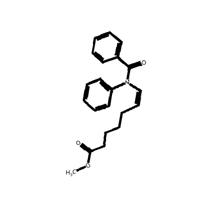 COC(=O)CCCC/C=C\N(C(=O)c1ccccc1)c1ccccc1